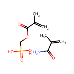 C=C(C)C(=O)OCP(=O)(O)O.C=C(C)C(N)=O